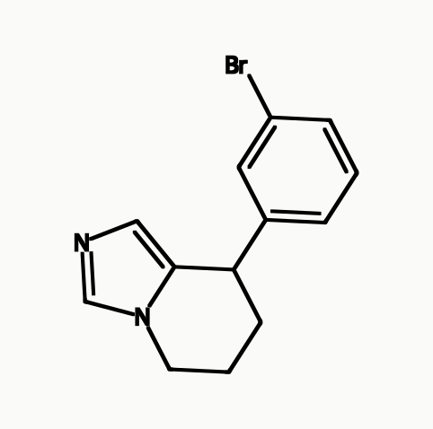 Brc1cccc(C2CCCn3cncc32)c1